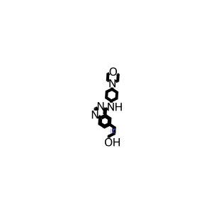 OC/C=C\c1ccc2ncnc(NC3CCC(N4CCOCC4)CC3)c2c1